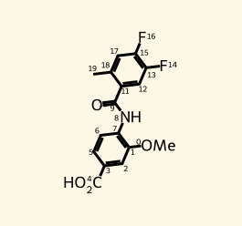 COc1cc(C(=O)O)ccc1NC(=O)c1cc(F)c(F)cc1C